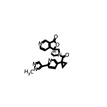 Cn1cc(-c2ccc(C3(C(=O)N4CC[C@@]5(C4)OC(=O)c4cnccc45)CC3)cn2)cn1